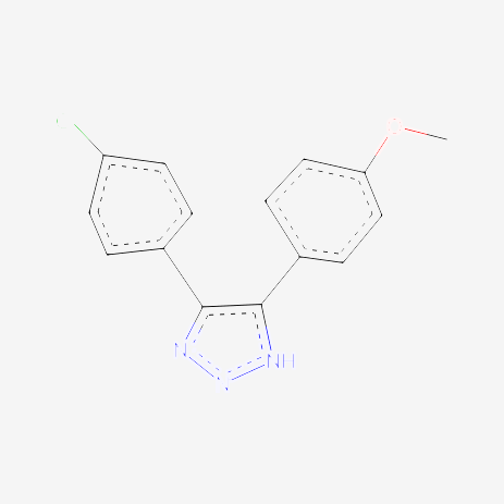 COc1ccc(-c2[nH]nnc2-c2ccc(Cl)cc2)cc1